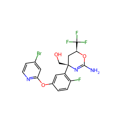 NC1=N[C@](CO)(c2cc(Oc3cc(Br)ccn3)ccc2F)C[C@@H](C(F)(F)F)O1